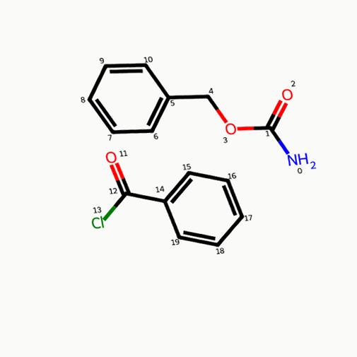 NC(=O)OCc1ccccc1.O=C(Cl)c1ccccc1